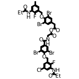 CCC(=O)Nc1cc(C)cc(COc2c(Br)cc(CC(=O)OC(=O)CNC(=O)c3cc(Br)c(OCc4cc(Cl)cc(NC(=O)CC)c4F)c(Br)c3)cc2Br)c1F